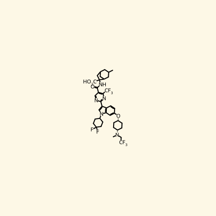 CC1CC2CC(C1)C(NC(=O)c1cnc(-c3cn(C4CCC(F)(F)CC4)c4cc(O[C@H]5CC[C@@H](N(C)CC(F)(F)F)CC5)ccc34)nc1C(F)(F)F)(C(=O)O)C2